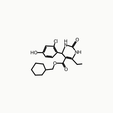 CCC1=C(C(=O)OCC2CCCCC2)C(c2ccc(O)cc2Cl)NC(=O)N1